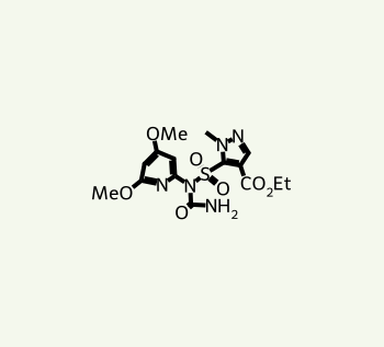 CCOC(=O)c1cnn(C)c1S(=O)(=O)N(C(N)=O)c1cc(OC)cc(OC)n1